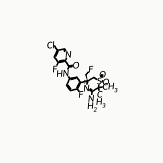 CC1(C)C(N)=N[C@](CF)(c2cc(NC(=O)c3ncc(Cl)cc3F)ccc2F)CS1(=O)=O